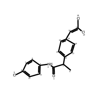 CC(C(=O)Nc1ccc(Cl)cc1)c1ccc(C=C(Cl)Cl)cc1